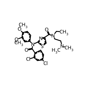 CCN(CCN(C)C)C(=O)c1csc(N(C(=O)c2ccc(Cl)cc2Cl)c2ccc(OC)c(OC)c2)n1